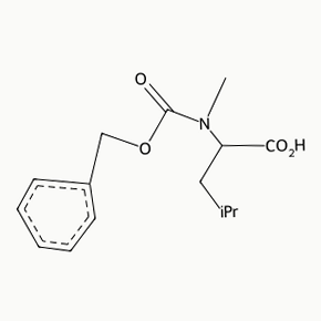 CC(C)CC(C(=O)O)N(C)C(=O)OCc1ccccc1